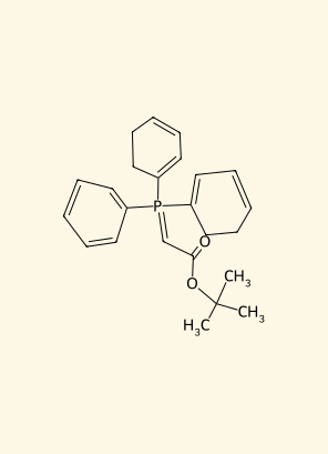 CC(C)(C)OC(=O)C=P(C1=CC=CCC1)(C1=CC=CCC1)c1ccccc1